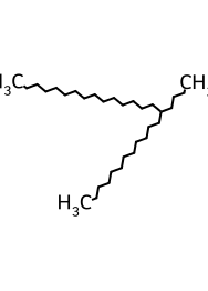 [CH2]CCCC(CCCCCCCCCCCC)CCCCCCCCCCCCCCC